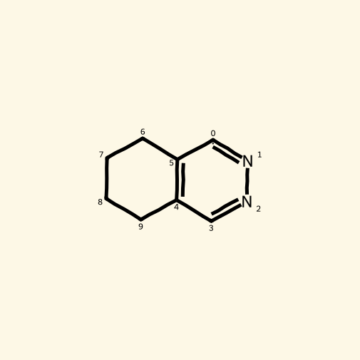 [c]1nncc2c1CCCC2